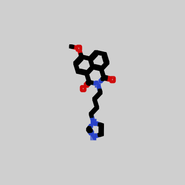 COc1ccc2c3c(cccc13)C(=O)N(CCCCn1ccnc1)C2=O